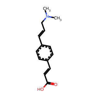 CN(C)CC=Cc1ccc(C=CC(=O)O)cc1